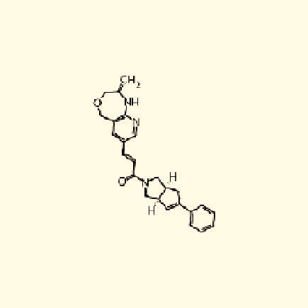 C=C1COCc2cc(/C=C/C(=O)N3C[C@H]4CC(c5ccccc5)=C[C@H]4C3)cnc2N1